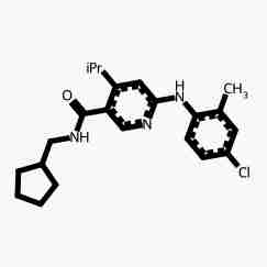 Cc1cc(Cl)ccc1Nc1cc(C(C)C)c(C(=O)NCC2CCCC2)cn1